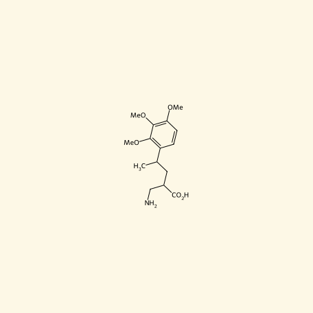 COc1ccc(C(C)CC(CN)C(=O)O)c(OC)c1OC